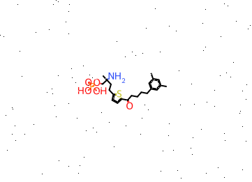 Cc1cc(C)cc(CCCCC(=O)c2ccc(CCC(C)(N)COP(=O)(O)O)s2)c1